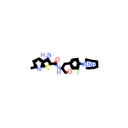 Cc1ccc2c(N)c(C(=O)N[C@H]3COc4c(ccc(N5CC6CCC(C5)N6)c4F)C3)sc2n1